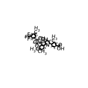 COc1ccc(-c2ccc(C(=O)O)cc2C)nc1C1=C(CN2C(=O)O[C@H](c3cc(C)cc(C(F)(F)F)c3)[C@@H]2C)CC(C)(C)CC1